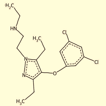 [CH2]CNCCn1nc(CC)c(Oc2cc(Cl)cc(Cl)c2)c1CC